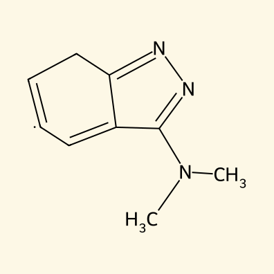 CN(C)C1=NN=C2CC=[C]C=C21